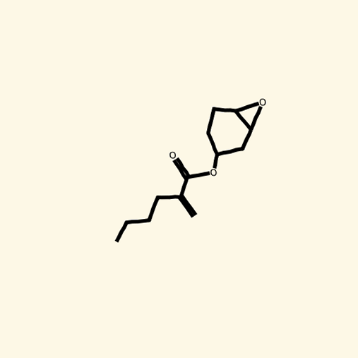 C=C(CCCC)C(=O)OC1CCC2OC2C1